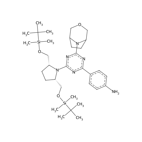 CC(C)(C)[Si](C)(C)OC[C@H]1CC[C@@H](CO[Si](C)(C)C(C)(C)C)N1c1nc(-c2ccc(N)cc2)nc(N2C3CCC2COC3)n1